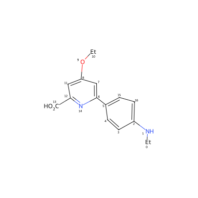 CCNc1ccc(-c2cc(OCC)cc(C(=O)O)n2)cc1